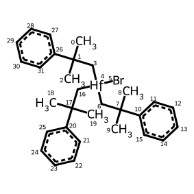 CC(C)([CH2][Hf]([Br])([CH2]C(C)(C)c1ccccc1)[CH2]C(C)(C)c1ccccc1)c1ccccc1